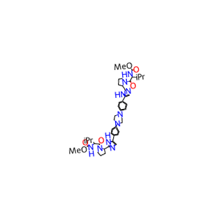 COC(=O)NC(C(=O)N1CCCC1c1ncc(-c2ccc(N3CCN(c4ccc(-c5cnc(C6CCCN6C(=O)C(NC(=O)OC)C(C)C)[nH]5)cc4)CC3)cc2)[nH]1)C(C)C